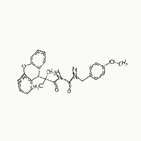 COc1ccc(CNC(=O)NC(=O)C(C)(C)C2c3ccccc3Oc3ccccc32)cc1